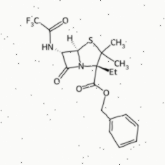 CC[C@@]1(C(=O)OCc2ccccc2)N2C(=O)[C@H](NC(=O)C(F)(F)F)[C@H]2SC1(C)C